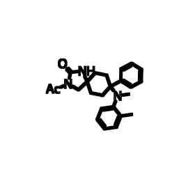 CC(=O)N1CC2(CCC(c3ccccc3)(N(C)c3ccccc3C)CC2)NC1=O